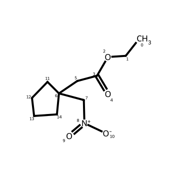 CCOC(=O)CC1(C[N+](=O)[O-])CCCC1